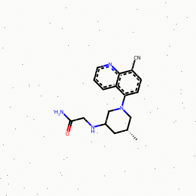 C[C@@H]1CC(NCC(N)=O)CN(c2ccc(C#N)c3ncccc23)C1